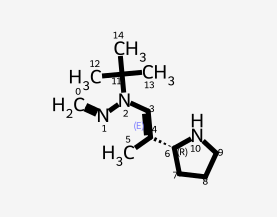 C=NN(/C=C(\C)[C@H]1CCCN1)C(C)(C)C